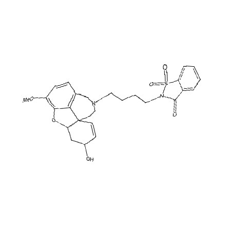 COc1ccc2c3c1OC1CC(O)C=CC31CCN(CCCCN1C(=O)c3ccccc3S1(=O)=O)C2